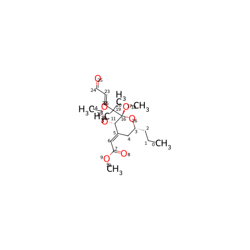 CCC[C@@H]1C/C(=C\C(=O)OC)[C@H](OC(C)=O)[C@](OC)(C(C)(C)/C=C/C=O)O1